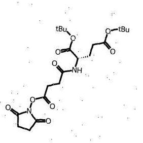 CC(C)(C)OC(=O)CC[C@H](NC(=O)CCC(=O)ON1C(=O)CCC1=O)C(=O)OC(C)(C)C